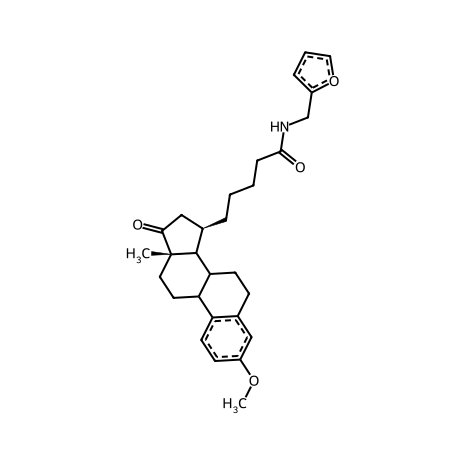 COc1ccc2c(c1)CCC1C2CC[C@]2(C)C(=O)C[C@@H](CCCCC(=O)NCc3ccco3)C12